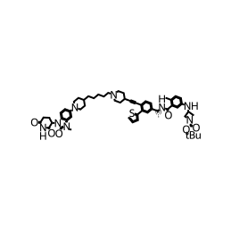 Cc1ccc(NC2CN(C(=O)OC(C)(C)C)C2)cc1C(=O)N[C@H](C)c1ccc(C#CC2CCN(CCCCCC3CCN(c4ccc5c(c4)n(C)c(=O)n5C4CCC(=O)NC4=O)CC3)CC2)c(-c2cccs2)c1